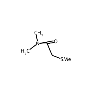 [CH2]SCC(=O)N(C)C